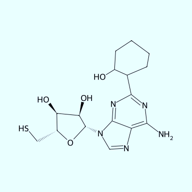 Nc1nc(C2CCCCC2O)nc2c1ncn2[C@@H]1O[C@H](CS)[C@@H](O)[C@H]1O